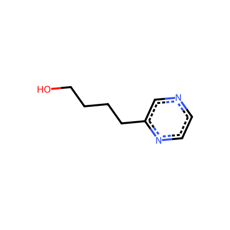 OCCCCc1cnccn1